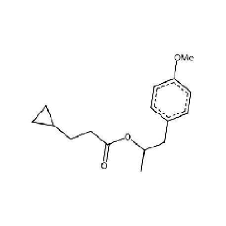 COc1ccc(CC(C)OC(=O)CCC2CC2)cc1